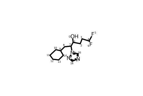 OC(CCC(F)F)C(CC1CCCCC1)n1cncn1